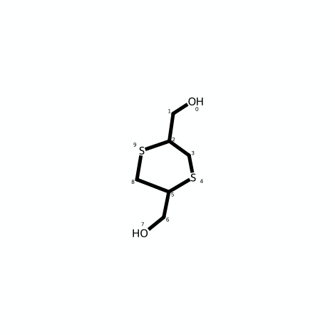 OCC1CSC(CO)CS1